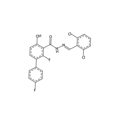 O=C(NN=Cc1c(Cl)cccc1Cl)c1c(O)ccc(-c2ccc(F)cc2)c1F